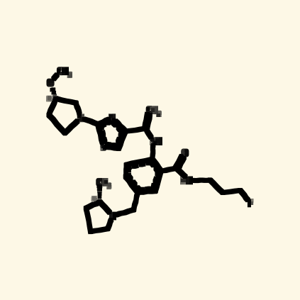 C=C(Nc1ccc(CN2CCC[C@@H]2C)cc1C(=O)NCCCF)c1csc(N2CC[C@H](OC)C2)n1